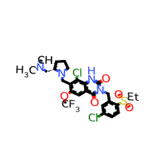 CCS(=O)(=O)c1ccc(Cl)cc1Cn1c(=O)[nH]c2c(Cl)c(CN3CCC[C@H]3CN(C)C)c(OC(F)(F)F)cc2c1=O